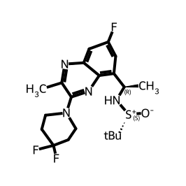 Cc1nc2cc(F)cc([C@@H](C)N[S@+]([O-])C(C)(C)C)c2nc1N1CCC(F)(F)CC1